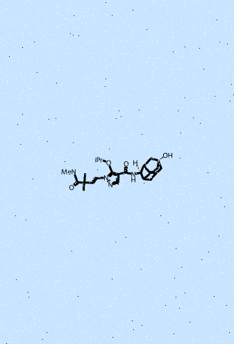 CNC(=O)C(C)(C)/C=C/n1ncc(C(=O)N[C@H]2C3CC4CC2C[C@](O)(C4)C3)c1OC(C)C